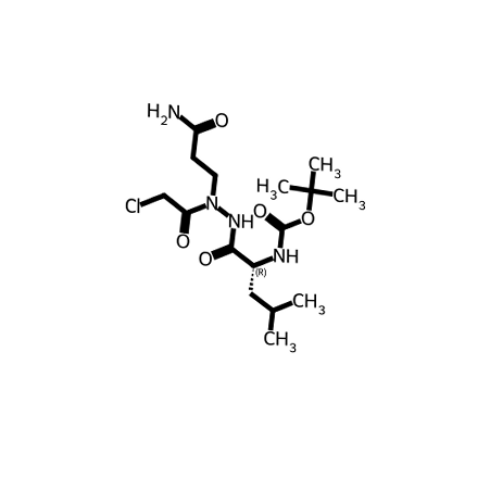 CC(C)C[C@@H](NC(=O)OC(C)(C)C)C(=O)NN(CCC(N)=O)C(=O)CCl